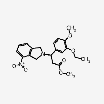 CCOc1cc(C(CC(=O)OC)N2Cc3cccc([N+](=O)[O-])c3C2)ccc1OC